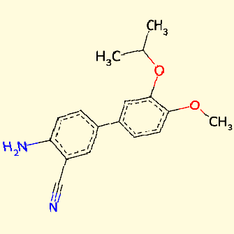 COc1ccc(-c2ccc(N)c(C#N)c2)cc1OC(C)C